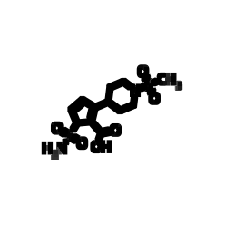 CS(=O)(=O)N1CCC(C2=C(C(=O)O)C(S(N)(=O)=O)C=C2)CC1